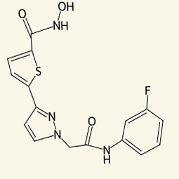 O=C(Cn1ccc(-c2ccc(C(=O)NO)s2)n1)Nc1cccc(F)c1